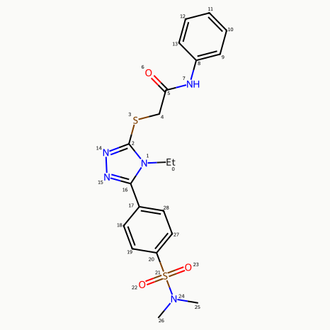 CCn1c(SCC(=O)Nc2ccccc2)nnc1-c1ccc(S(=O)(=O)N(C)C)cc1